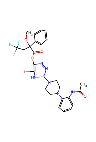 COC(CC(F)(F)F)(C(=O)OC1=C(I)NN(N2CCN(c3ccccc3NC(C)=O)CC2)N=N1)c1ccccc1